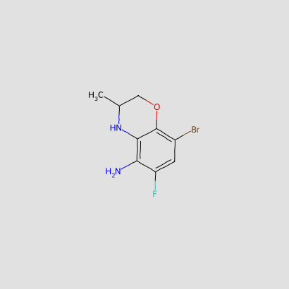 CC1COc2c(Br)cc(F)c(N)c2N1